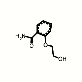 NC(=O)c1ccccc1OCCO